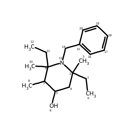 CCC1(C)CC(O)C(C)C(C)(CC)N1Cc1ccccc1